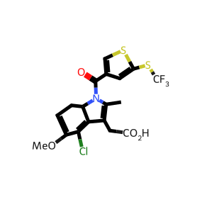 COC1=CCC2C(=C1Cl)C(CC(=O)O)=C(C)N2C(=O)c1csc(SC(F)(F)F)c1